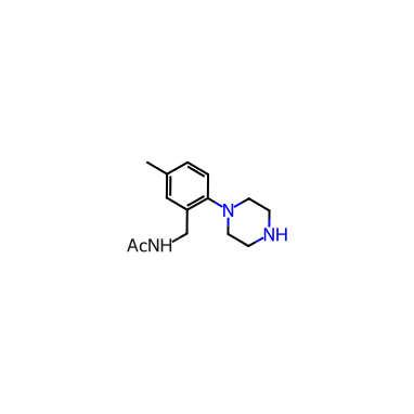 CC(=O)NCc1cc(C)ccc1N1CCNCC1